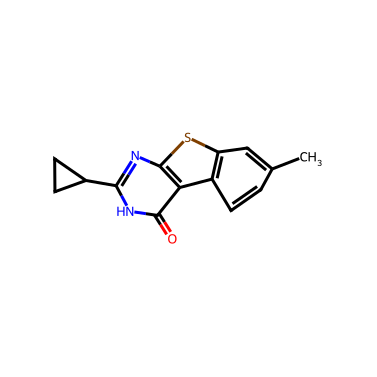 Cc1ccc2c(c1)sc1nc(C3CC3)[nH]c(=O)c12